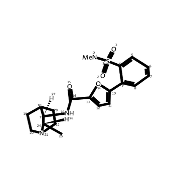 CNS(=O)(=O)c1ccccc1-c1ccc(C(=O)N[C@@H]2C3CCN(CC3)[C@H]2C)o1